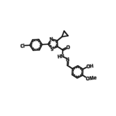 COc1ccc(/C=N/NC(=O)c2sc(-c3ccc(Cl)cc3)nc2C2CC2)cc1O